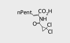 CCCCCC=C(NC(=O)C1CC1(Cl)Cl)C(=O)O